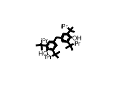 CC(C)C(C)(C)c1cc(Cc2cc(C(C)(C)C(C)C)c(O)c(C(C)(C)C(C)C)c2)cc(C(C)(C)C(C)C)c1O